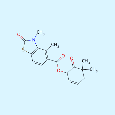 Cc1c(C(=O)OC2C=CCC(C)(C)C2=O)ccc2sc(=O)n(C)c12